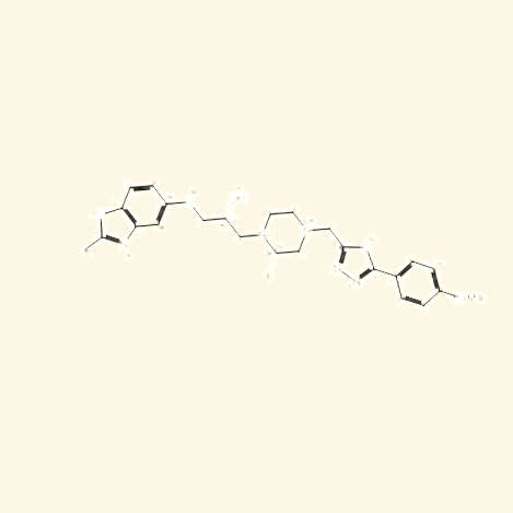 COc1ccc(-c2nnc(CN3CCN(C[C@@H](O)COc4ccc5sc(C)nc5c4)[C@@H](C)C3)o2)cc1